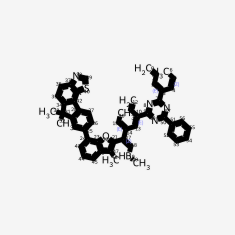 C=C/C=C(\C=C/C)c1nc(/C(C=C)=C/C(=C\C)C(=C/BC)/c2oc3c(-c4ccc5c(c4)C(C)(C)c4ccc6ncsc6c4-5)cccc3c2C)nc(-c2ccccc2)n1